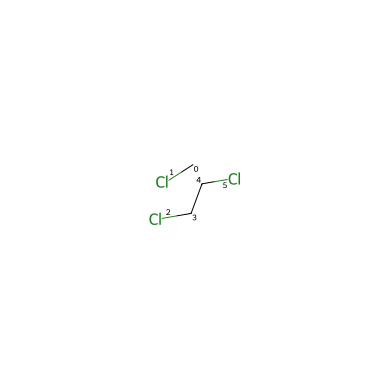 CCl.ClCCCl